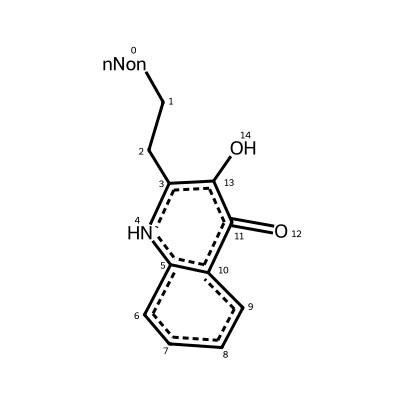 CCCCCCCCCCCc1[nH]c2ccccc2c(=O)c1O